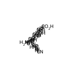 CC(C)Oc1c(NC(=O)c2ccc(NC(=O)[C@H](CC(N)=O)NC(=O)c3ccc(NC(=O)c4ccc(C#N)nc4)cc3)cc2)ccc(C(=O)Nc2ccc(C(=O)O)cc2)c1O